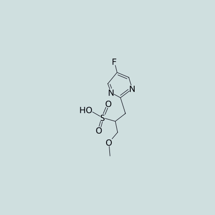 COCC(Cc1ncc(F)cn1)S(=O)(=O)O